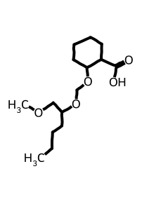 CCCCC(COC)OCOC1CCCCC1C(=O)O